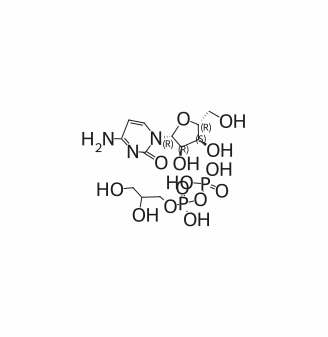 Nc1ccn([C@@H]2O[C@H](CO)[C@@H](O)[C@H]2O)c(=O)n1.O=P(O)(O)OP(=O)(O)OCC(O)CO